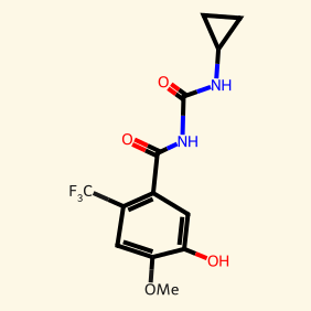 COc1cc(C(F)(F)F)c(C(=O)NC(=O)NC2CC2)cc1O